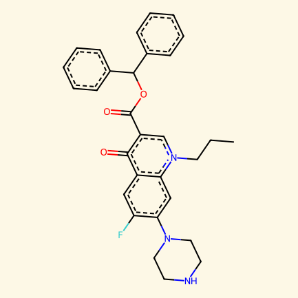 CCCn1cc(C(=O)OC(c2ccccc2)c2ccccc2)c(=O)c2cc(F)c(N3CCNCC3)cc21